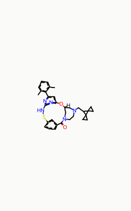 Cc1cccc(C)c1-c1cc2nc(n1)NSc1cccc(c1)C(=O)N1CCN(CC3C4(CC4)C34CC4)C[C@H](C1)O2